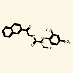 CC(C)C[C@@H](Nc1ccc([N+](=O)[O-])cc1[N+](=O)[O-])C(=O)OCC(=O)c1ccc2ccccc2c1